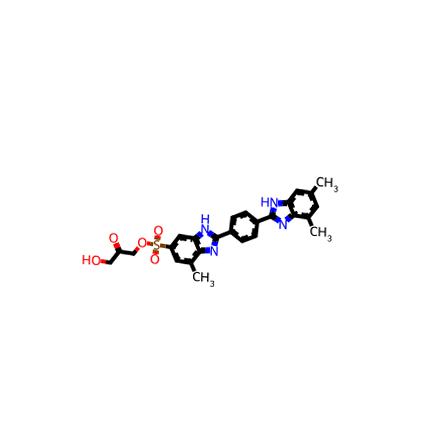 Cc1cc(C)c2nc(-c3ccc(-c4nc5c(C)cc(S(=O)(=O)OCC(=O)CO)cc5[nH]4)cc3)[nH]c2c1